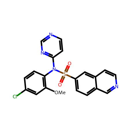 COc1cc(Cl)ccc1N(c1ccncn1)S(=O)(=O)c1ccc2cnccc2c1